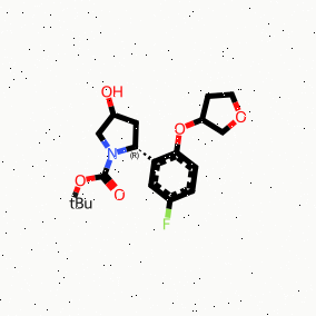 CC(C)(C)OC(=O)N1CC(O)C[C@@H]1c1cc(F)ccc1OC1CCOC1